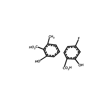 Cc1cccc(O)c1C(=O)O.O=C(O)c1ccc(F)cc1O